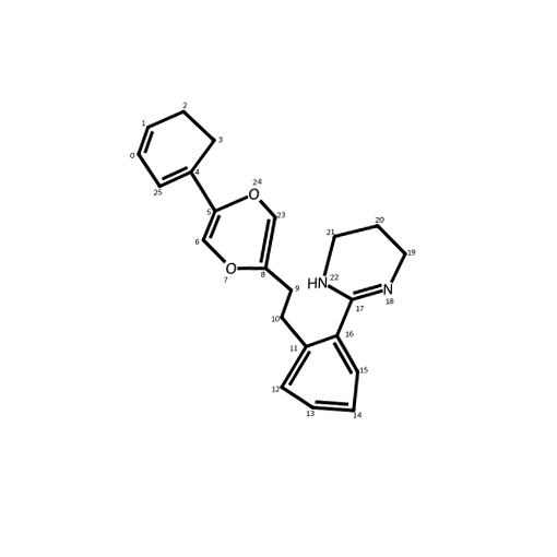 C1=CCCC(C2=COC(CCc3ccccc3C3=NCCCN3)=CO2)=C1